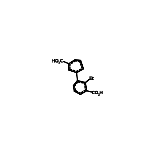 CCc1c(C(=O)O)cccc1-c1cccc(C(=O)O)c1